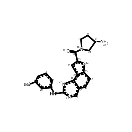 CC(C)(C)c1cccc(Nc2ncc3ccc4sc(C(=O)N5CC[C@@H](N)C5)cc4c3n2)c1